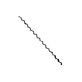 [CH]=C/C=C/C=C/C=C/CCCCCCCCCCCCCCCCCCCCC